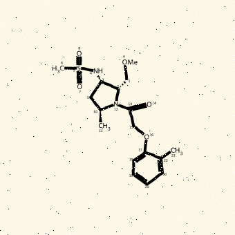 COC[C@H]1[C@@H](NS(C)(=O)=O)C[C@H](C)N1C(=O)COc1ccccc1C